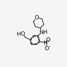 O=[N+]([O-])c1ccc(CO)cc1NC1CCOCC1